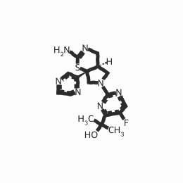 CC(C)(O)c1nc(N2C[C@@H]3CN=C(N)S[C@@]3(c3cnccn3)C2)ncc1F